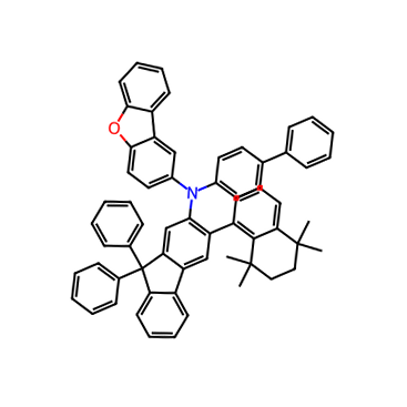 CC1(C)CCC(C)(C)c2c(-c3cc4c(cc3N(c3ccc(-c5ccccc5)cc3)c3ccc5oc6ccccc6c5c3)C(c3ccccc3)(c3ccccc3)c3ccccc3-4)cccc21